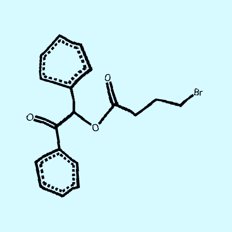 O=C(CCCBr)OC(C(=O)c1ccccc1)c1ccccc1